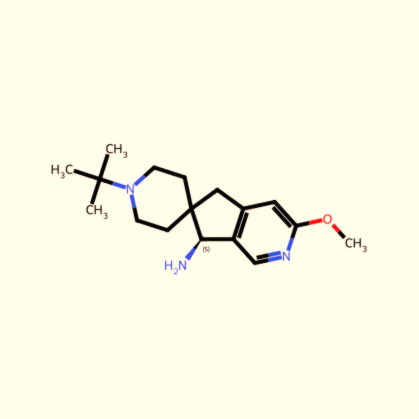 COc1cc2c(cn1)[C@@H](N)C1(CCN(C(C)(C)C)CC1)C2